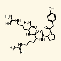 N=C(N)NCCCC(NC(=O)C(CCCNC(=N)N)NC(=O)C1CCCN1C(=O)Cc1ccc(O)cc1)C(N)=O